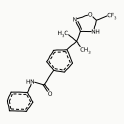 CC(C)(C1=NOC(C(F)(F)F)N1)c1ccc(C(=O)Nc2ccccc2)cc1